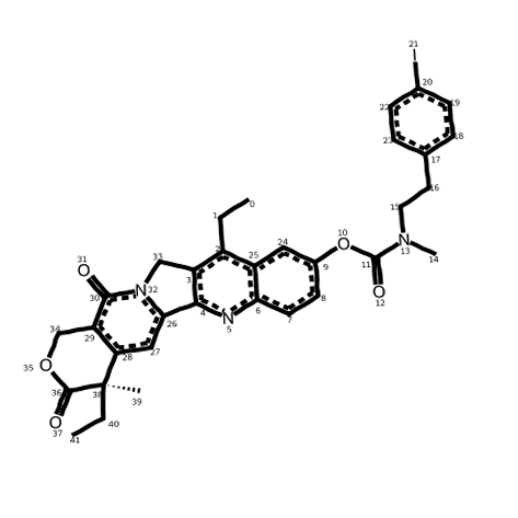 CCc1c2c(nc3ccc(OC(=O)N(C)CCc4ccc(I)cc4)cc13)-c1cc3c(c(=O)n1C2)COC(=O)[C@]3(C)CC